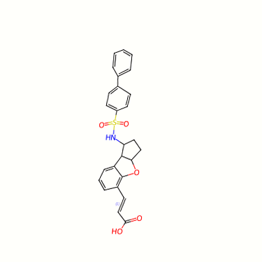 O=C(O)/C=C/c1cccc2c1OC1CCC(NS(=O)(=O)c3ccc(-c4ccccc4)cc3)C21